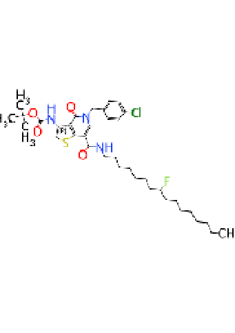 CCCCCCCCC(F)CCCCCCCNC(=O)c1cn(Cc2ccc(Cl)cc2)c(=O)c2c1SC[C@@H]2NC(=O)OC(C)(C)C